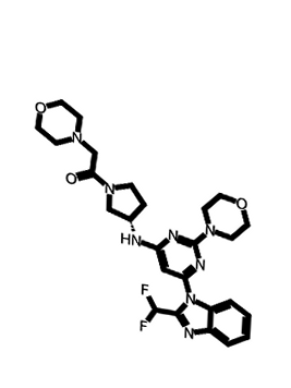 O=C(CN1CCOCC1)N1CC[C@H](Nc2cc(-n3c(C(F)F)nc4ccccc43)nc(N3CCOCC3)n2)C1